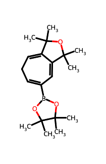 CC1(C)OC(C)(C)C2=CC(B3OC(C)(C)C(C)(C)O3)=CCC=C21